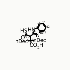 CCCCCCCCCCC(CCCCCCCCCC)(C(=O)O)C(C(=O)S)c1nc2ccccc2[nH]1